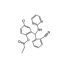 CCC(=O)Oc1ccc(Cl)cc1C(Nc1ncccn1)c1ccccc1C#N